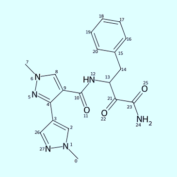 Cn1cc(-c2nn(C)cc2C(=O)NC(Cc2ccccc2)C(=O)C(N)=O)cn1